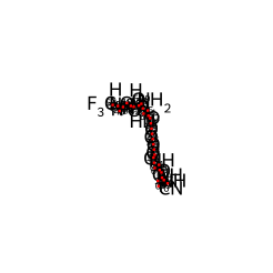 Cc1ccc(NS(=O)(=O)c2ccc(CNC(=O)COCCOCCOCCOCCNC(=O)c3ccc(-n4cc(NC(=O)c5coc(-c6ccnc(NCC(F)(F)F)c6)n5)c(C(N)=O)n4)cc3)cc2)c2[nH]cc(C#N)c12